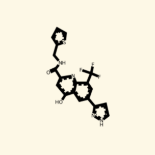 O=C(NCc1cccs1)c1cc(O)c2cc(-c3cc[nH]n3)cc(C(F)(F)F)c2n1